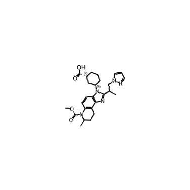 COC(=O)N1c2ccc3c(nc(C(C)Cn4cccn4)n3[C@@H]3CCC[C@@H](C(=O)O)C3)c2CCC1C